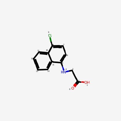 O=C(O)CNc1ccc(Cl)c2ccccc12